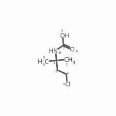 CC(C)(CCCl)NC(=O)O